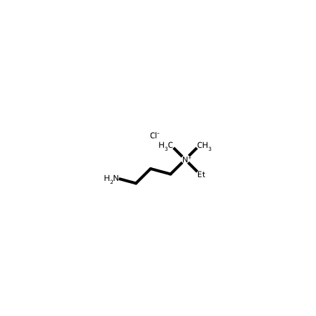 CC[N+](C)(C)CCCN.[Cl-]